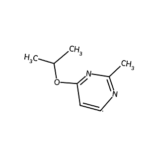 Cc1n[c]cc(OC(C)C)n1